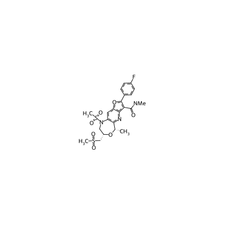 CNC(=O)c1c(-c2ccc(F)cc2)oc2cc3c(nc12)[C@H](C)O[C@H](CS(C)(=O)=O)CN3S(C)(=O)=O